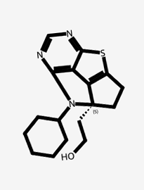 OCC[C@@]12CCc3sc4ncnc(c4c31)N2C1CCCCC1